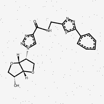 O=C(NCc1nnc(-c2ccccc2)s1)c1cn([C@@H]2CO[C@H]3[C@@H]2OC[C@H]3O)nn1